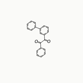 O=C(C(=O)c1cccc(-c2ccccc2)c1)c1ccccc1